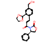 O=C(/C=C/c1ccc(CO)cc1C1OCCO1)N1C(=O)OC[C@H]1c1ccccc1